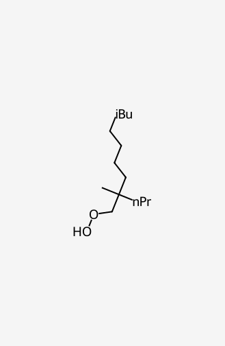 CCCC(C)(CCCCC(C)CC)COO